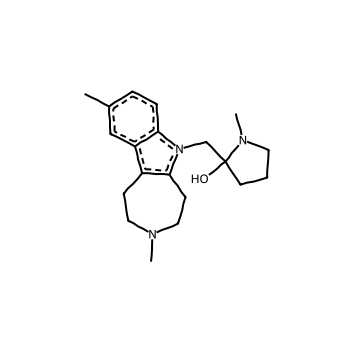 Cc1ccc2c(c1)c1c(n2CC2(O)CCCN2C)CCN(C)CC1